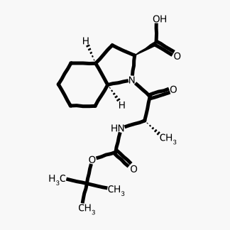 C[C@H](NC(=O)OC(C)(C)C)C(=O)N1[C@H](C(=O)O)C[C@@H]2CCCC[C@@H]21